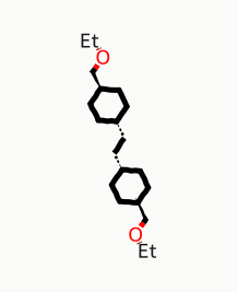 CCOC[C@H]1CC[C@H](CC[C@H]2CC[C@H](COCC)CC2)CC1